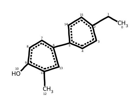 CCc1ccc(-c2ccc(O)c(C)c2)cc1